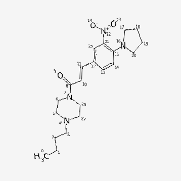 CCCCN1CCN(C(=O)/C=C/c2ccc(N3CCCC3)c([N+](=O)[O-])c2)CC1